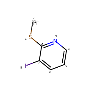 CC(C)Sc1ncccc1I